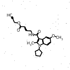 C#CCOC(=O)/C=C/CNC(=O)c1c(C)n(C2CCCC2)c2ccc(OC)cc12